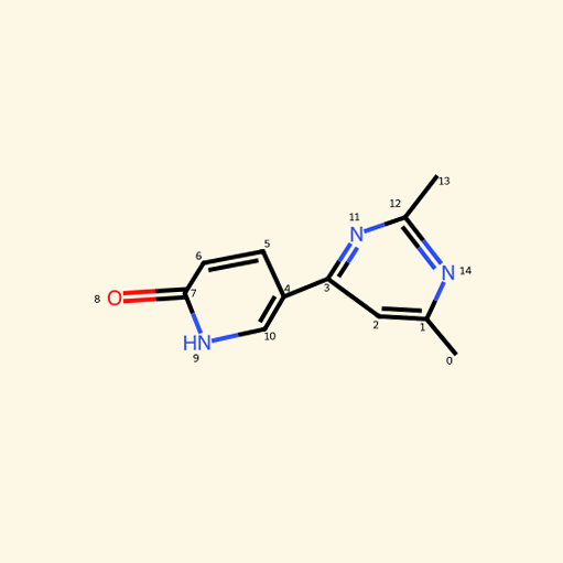 Cc1cc(-c2ccc(=O)[nH]c2)nc(C)n1